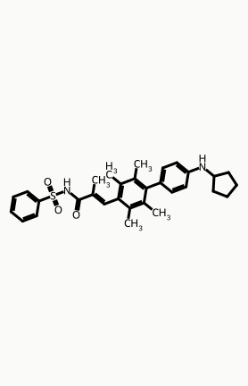 C/C(=C\c1c(C)c(C)c(-c2ccc(NC3CCCC3)cc2)c(C)c1C)C(=O)NS(=O)(=O)c1ccccc1